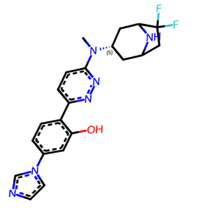 CN(c1ccc(-c2ccc(-n3ccnc3)cc2O)nn1)[C@H]1CC2CC(F)(F)C(C1)N2